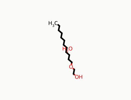 CCCCCCCCCCCCOCCO.O